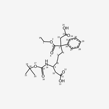 CCOC(=O)C(CCCC(CC(=O)O)NC(=O)OC(C)(C)C)(CC(=O)O)c1ccccc1